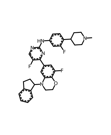 CN1CCC(c2ccc(Nc3ncc(F)c(-c4cc(F)c5c(c4)N(C4CCc6ccccc64)CCO5)n3)cc2F)CC1